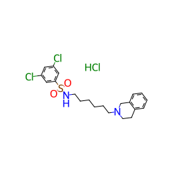 Cl.O=S(=O)(NCCCCCCN1CCc2ccccc2C1)c1cc(Cl)cc(Cl)c1